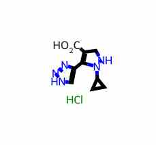 Cl.O=C(O)C1=C(c2c[nH]nn2)N(C2CC2)NC1